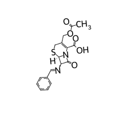 CC(=O)OCC1=C(C(=O)O)N2C(=O)[C@@H](N=Cc3ccccc3)[C@H]2SC1